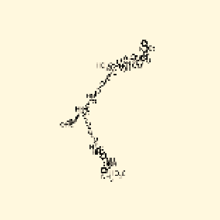 CCc1c2c(nc3ccccc13)-c1cc3c(c(=O)n1C2)COC(=O)[C@@]3(CC)OC(=O)[C@@H](NC(=O)[C@@H]1CCCN1C(=O)[C@H](CC(=O)O)NC(=O)CCOCCOCCOCCNC(=O)CCCC(=O)N[C@@H](CCCCNC=O)C(=O)NCCOCCOCCOCCNC(=O)Nc1ccc(NC(=O)N[C@H](CC(=O)O)c2cccc(N)c2)cc1)C(C)C